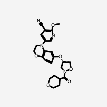 COc1ncc(N2CCOc3ccc(O[C@@H]4CON(C(=O)C5CCOCC5)C4)cc32)cc1C#N